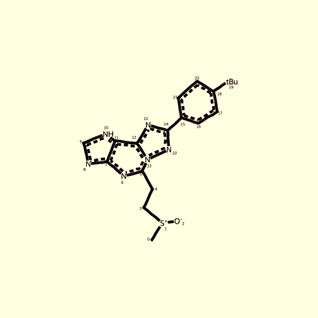 C[S+]([O-])CCc1nc2nc[nH]c2c2nc(-c3ccc(C(C)(C)C)cc3)nn12